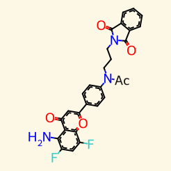 CC(=O)N(CCCN1C(=O)c2ccccc2C1=O)c1ccc(-c2cc(=O)c3c(N)c(F)cc(F)c3o2)cc1